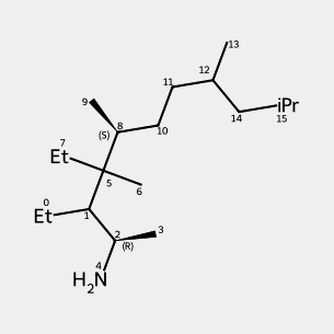 CCC([C@@H](C)N)C(C)(CC)[C@@H](C)CCC(C)CC(C)C